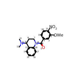 COc1cc(C(=O)N2CCC(N(C)C)c3ccccc32)ccc1[N+](=O)[O-]